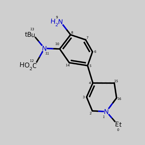 CCN1CC=C(c2ccc(N)c(N(C(=O)O)C(C)(C)C)c2)CC1